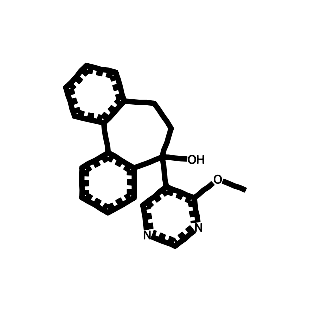 COc1ncncc1C1(O)CCc2ccccc2-c2ccccc21